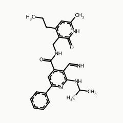 CCCc1cc(C)[nH]c(=O)c1CNC(=O)c1cc(-c2ccccc2)nc(NC(C)C)c1C=N